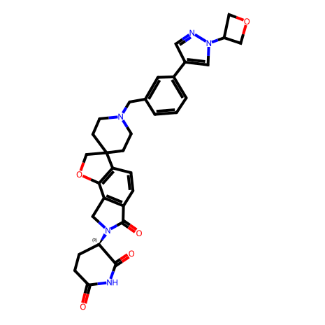 O=C1CC[C@@H](N2Cc3c(ccc4c3OCC43CCN(Cc4cccc(-c5cnn(C6COC6)c5)c4)CC3)C2=O)C(=O)N1